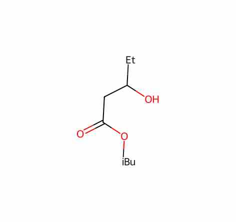 CCC(O)CC(=O)OC(C)CC